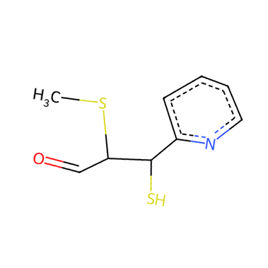 CSC(C=O)C(S)c1ccccn1